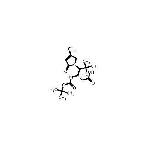 CC1=CC(=O)N(C([C@H](CC(=O)O)NC(=O)OC(C)(C)C)C(C)(C)C)C1